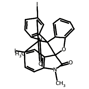 CN1C(=O)C2(Oc3ccccc3C23C(=O)N(C)c2ccc(I)cc23)c2cc(I)ccc21